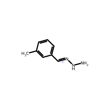 Cc1cccc(/C=N/NN)c1